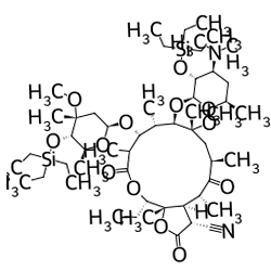 CC[C@@H]1OC(=O)C(C)[C@H](O[C@@H]2C[C@@](C)(OC)[C@@H](O[Si](CC)(CC)CC)[C@H](C)O2)[C@H](C)[C@@H](O[C@@H]2O[C@H](C)C[C@H](N(C)C)[C@H]2O[Si](CC)(CC)CC)[C@](C)(OC)C[C@@H](C)C(=O)[C@H](C)[C@H]2[C@H](C#N)C(=O)O[C@@]21C